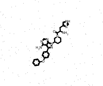 Nc1ncnc2c1c(-c1ccc(Oc3ccccc3)cc1)nn2C1CCCN(C(=O)C(N)Cc2c[nH]cn2)C1